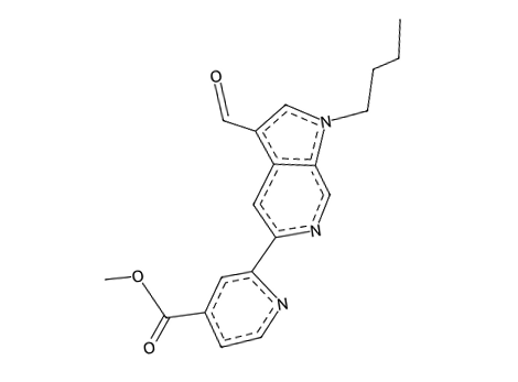 CCCCn1cc(C=O)c2cc(-c3cc(C(=O)OC)ccn3)ncc21